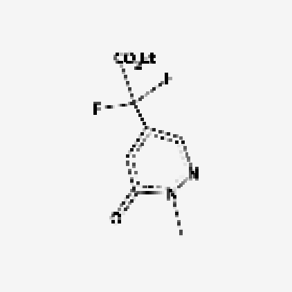 CCOC(=O)C(F)(F)c1cnn(C)c(=O)c1